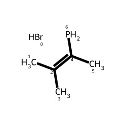 Br.CC(C)=C(C)P